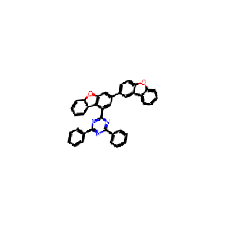 C1=CC2Oc3cc(-c4ccc5oc6ccccc6c5c4)cc(-c4nc(-c5ccccc5)nc(-c5ccccc5)n4)c3C2C=C1